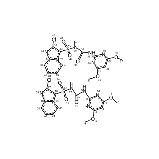 COc1cc(OC)nc(NC(=O)NS(=O)(=O)c2c(Cl)nc3ccccn23)n1.COc1cc(OC)nc(NC(=O)NS(=O)(=O)c2c(Cl)nc3ccccn23)n1